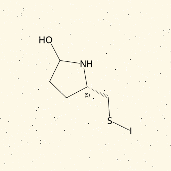 OC1CC[C@@H](CSI)N1